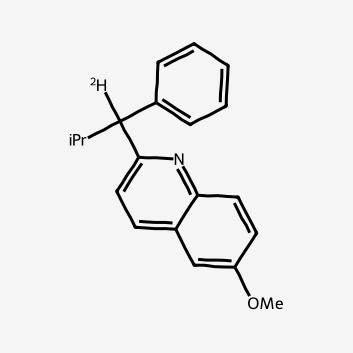 [2H]C(c1ccccc1)(c1ccc2cc(OC)ccc2n1)C(C)C